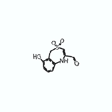 O=CC1=CS(=O)(=O)Cc2c(O)cccc2N1